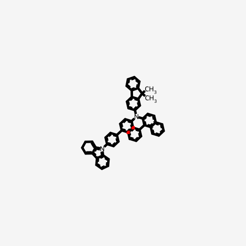 CC1(C)c2ccccc2-c2ccc(N(c3ccc(-c4ccc(-n5c6c(c7ccccc75)=CCCC=6)cc4)cc3)c3ccc4ccccc4c3-c3ccccc3)cc21